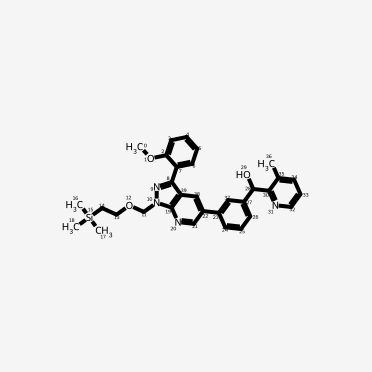 COc1ccccc1-c1nn(COCC[Si](C)(C)C)c2ncc(-c3cccc(C(O)c4ncccc4C)c3)cc12